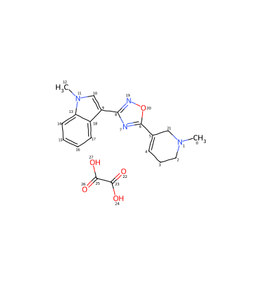 CN1CCC=C(c2nc(-c3cn(C)c4ccccc34)no2)C1.O=C(O)C(=O)O